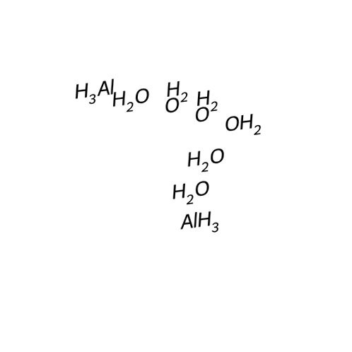 O.O.O.O.O.O.[AlH3].[AlH3]